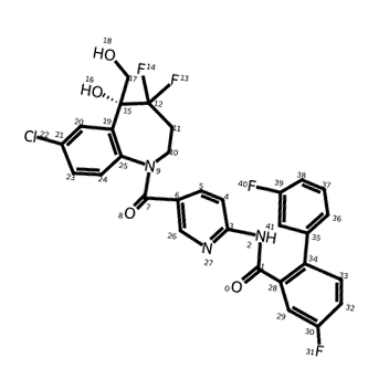 O=C(Nc1ccc(C(=O)N2CCC(F)(F)[C@](O)(CO)c3cc(Cl)ccc32)cn1)c1cc(F)ccc1-c1cccc(F)c1